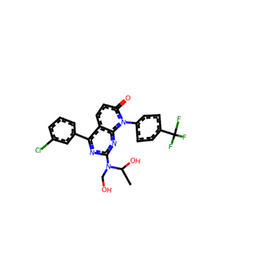 CC(O)N(CO)c1nc(-c2cccc(Cl)c2)c2ccc(=O)n(-c3ccc(C(F)(F)F)cc3)c2n1